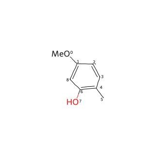 COc1[c]cc(C)c(O)c1